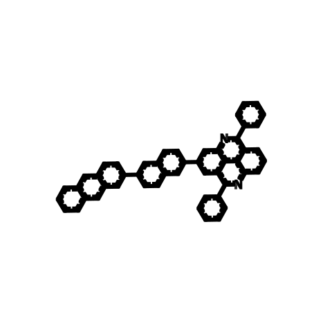 c1ccc(-c2nc3cc(-c4ccc5cc(-c6ccc7cc8ccccc8cc7c6)ccc5c4)cc4c(-c5ccccc5)nc5cccc2c5c34)cc1